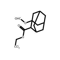 O=[C]OC12CC3CC(CC(C3)C1C(=O)OCC(Cl)(Cl)Cl)C2